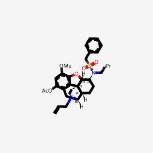 C=CCN1CC[C@]23c4c5c(OC(C)=O)cc(OC)c4O[C@H]2[C@H](N(CC(C)C)S(=O)(=O)Cc2ccccc2)CC[C@H]3[C@H]1C5